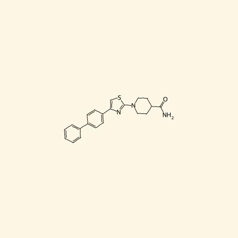 NC(=O)C1CCN(c2nc(-c3ccc(-c4ccccc4)cc3)cs2)CC1